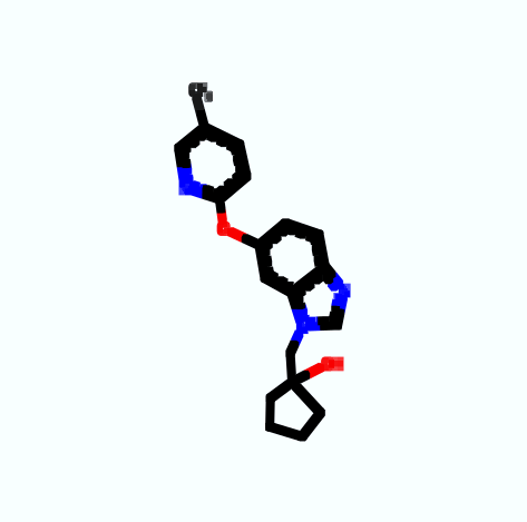 OC1(Cn2cnc3ccc(Oc4ccc(C(F)(F)F)cn4)cc32)CCCC1